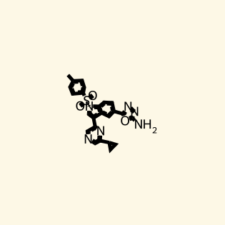 Cc1ccc(S(=O)(=O)n2cc(-c3cncc(C4CC4)n3)c3cc(-c4nnc(N)o4)ccc32)cc1